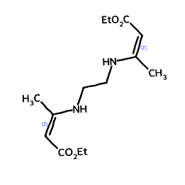 CCOC(=O)/C=C(/C)NCCN/C(C)=C\C(=O)OCC